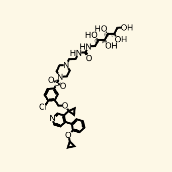 O=C(NCCN1CCN(S(=O)(=O)c2ccc(Cl)c(COC3(c4cnccc4-c4ccccc4OC4CC4)CC3)c2)CC1)NC[C@H](O)[C@@H](O)[C@H](O)[C@H](O)CO